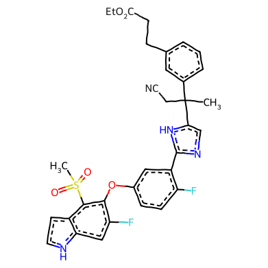 CCOC(=O)CCc1cccc(C(C)(CC#N)c2cnc(-c3cc(Oc4c(F)cc5[nH]ccc5c4S(C)(=O)=O)ccc3F)[nH]2)c1